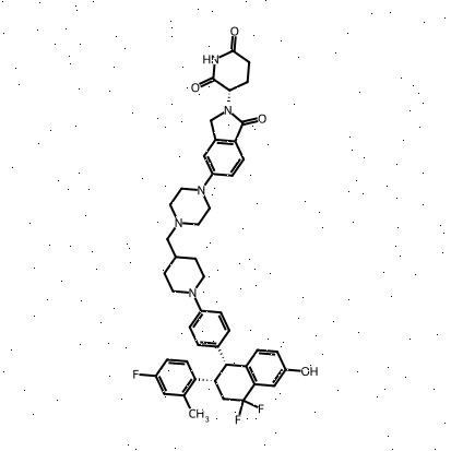 Cc1cc(F)ccc1[C@H]1CC(F)(F)c2cc(O)ccc2[C@H]1c1ccc(N2CCC(CN3CCN(c4ccc5c(c4)CN([C@H]4CCC(=O)NC4=O)C5=O)CC3)CC2)cc1